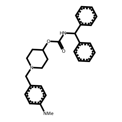 CNc1ccc(CN2CCC(OC(=O)NC(c3ccccc3)c3ccccc3)CC2)cc1